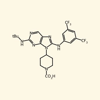 CC(C)(C)Nc1ncc2nc(Nc3cc(C(F)(F)F)cc(C(F)(F)F)c3)n(C3CCN(C(=O)O)CC3)c2n1